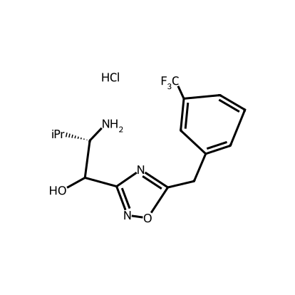 CC(C)[C@H](N)C(O)c1noc(Cc2cccc(C(F)(F)F)c2)n1.Cl